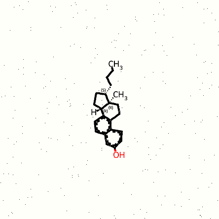 CCCC[C@H]1CC[C@H]2c3ccc4cc(O)ccc4c3CC[C@]12C